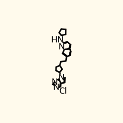 Clc1ncnc2c1ccn2C1CCC(CCc2ccc3ccc(NC4CCCC4)nc3c2)C1